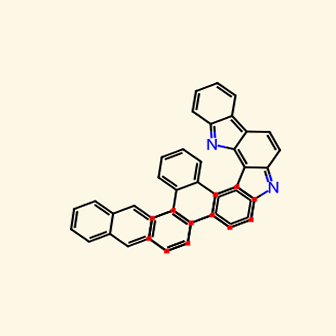 c1ccc(-c2ccc3c(c2-c2ccccc2-c2c(-c4ccccc4)ccc4cc5ccccc5cc24)-c2c4c(ccc2=N3)=c2ccccc2=N4)cc1